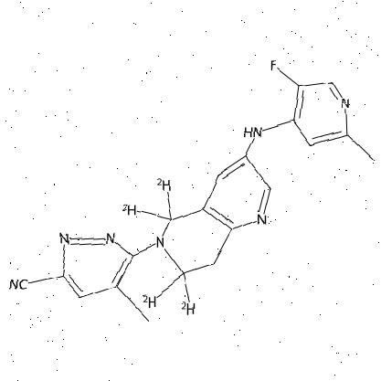 [2H]C1([2H])Cc2ncc(Nc3cc(C)ncc3F)cc2C([2H])([2H])N1c1nnc(C#N)cc1C